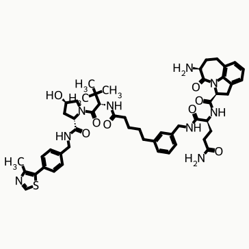 Cc1ncsc1-c1ccc(CNC(=O)[C@@H]2C[C@@H](O)CN2C(=O)[C@@H](NC(=O)CCCCc2cccc(CNC(=O)[C@H](CCC(N)=O)NC(=O)[C@@H]3Cc4cccc5c4N3C(=O)[C@@H](N)CC5)c2)C(C)(C)C)cc1